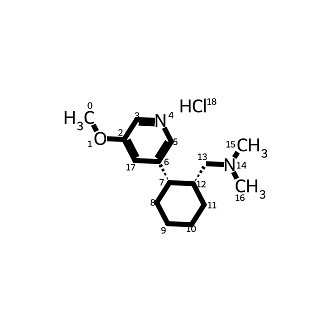 COc1cncc([C@H]2CCCC[C@H]2CN(C)C)c1.Cl